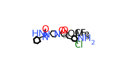 COC(=O)[C@H](CC(=O)N1CCC(n2nc(-c3ccccc3)[nH]c2=O)CC1)Cc1cc(Cl)c(N)c(C(F)(F)F)c1